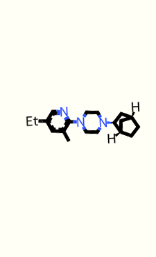 CCc1cnc(N2CCN([C@H]3C[C@@H]4CC[C@H]3C4)CC2)c(C)c1